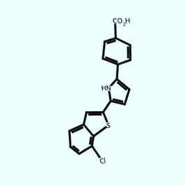 O=C(O)c1ccc(-c2ccc(-c3cc4cccc(Cl)c4s3)[nH]2)cc1